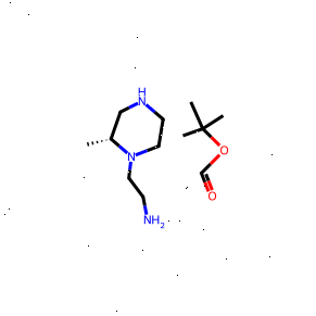 CC(C)(C)OC=O.C[C@@H]1CNCCN1CCN